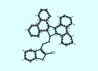 ClC1=C([CH]CC2c3c(c4ccccc4c4ccccc34)-c3c2c2ccccc2c2ccccc32)c2ccccc2C1